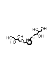 OCC(O)C(O)COCc1cccc(COCC(O)C(O)CO)n1